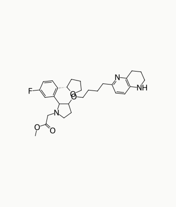 COC(=O)CN1CCC(OCCCCc2ccc3c(n2)CCCN3)C1c1cc(F)ccc1[C@@H]1CCCO1